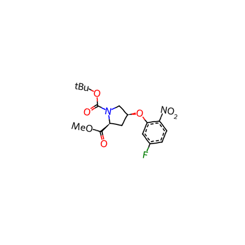 COC(=O)[C@@H]1C[C@H](Oc2cc(F)ccc2[N+](=O)[O-])CN1C(=O)OC(C)(C)C